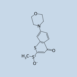 C[S+]([O-])c1cc(=O)c2ccc(N3CCOCC3)cc2s1